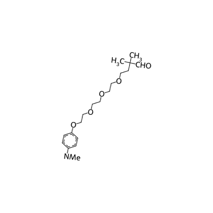 CNc1ccc(OCCOCCOCCOCCC(C)(C)C=O)cc1